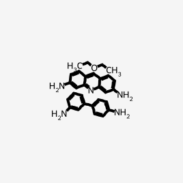 CCOCC.Nc1ccc(-c2cccc(N)c2)cc1.Nc1ccc2cc3ccc(N)cc3nc2c1